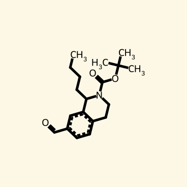 CCCCC1c2cc(C=O)ccc2CCN1C(=O)OC(C)(C)C